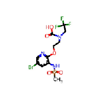 CS(=O)(=O)Nc1cc(Br)cnc1OCCN(CC(F)(F)F)C(=O)O